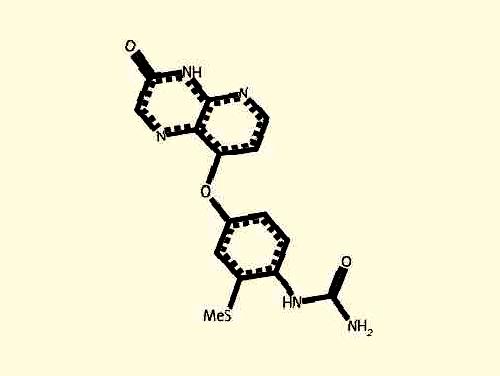 CSc1cc(Oc2ccnc3[nH]c(=O)cnc23)ccc1NC(N)=O